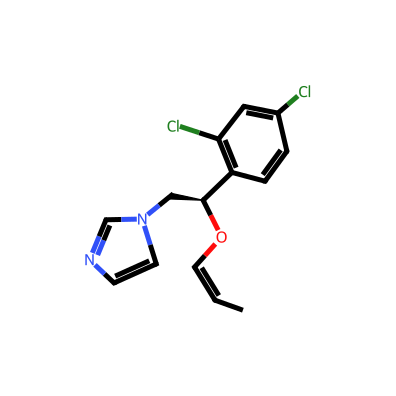 C/C=C\O[C@@H](Cn1ccnc1)c1ccc(Cl)cc1Cl